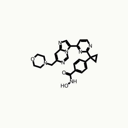 O=C(NO)c1ccc(C2(c3nccc(-c4cnc5cc(CN6CCOCC6)ncn45)n3)CC2)cc1